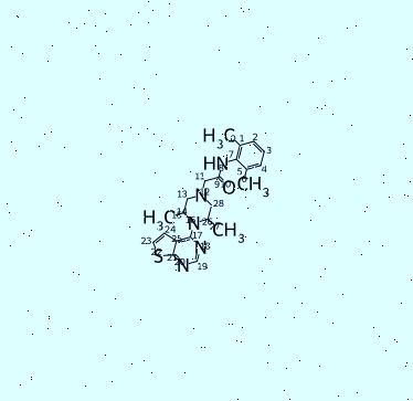 Cc1cccc(C)c1NC(=O)CN1CC(C)N(c2ncnc3sccc23)C(C)C1